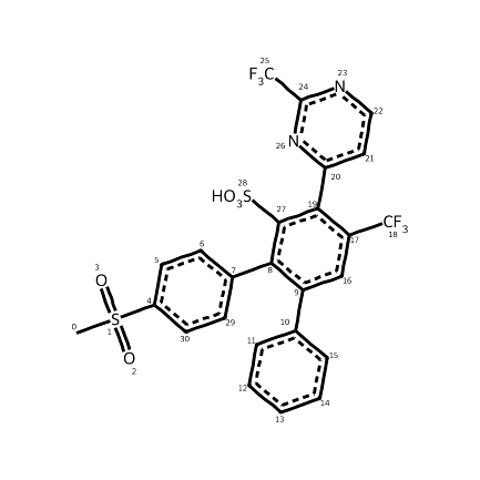 CS(=O)(=O)c1ccc(-c2c(-c3ccccc3)cc(C(F)(F)F)c(-c3ccnc(C(F)(F)F)n3)c2S(=O)(=O)O)cc1